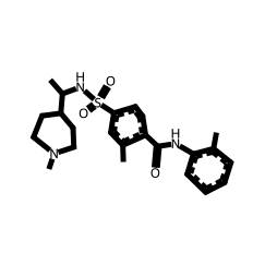 Cc1ccccc1NC(=O)c1ccc(S(=O)(=O)NC(C)C2CCN(C)CC2)cc1C